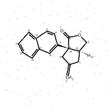 C=C1C[C@@H]2COC(=O)[C@@]2(c2ccc3ccccc3c2)C1